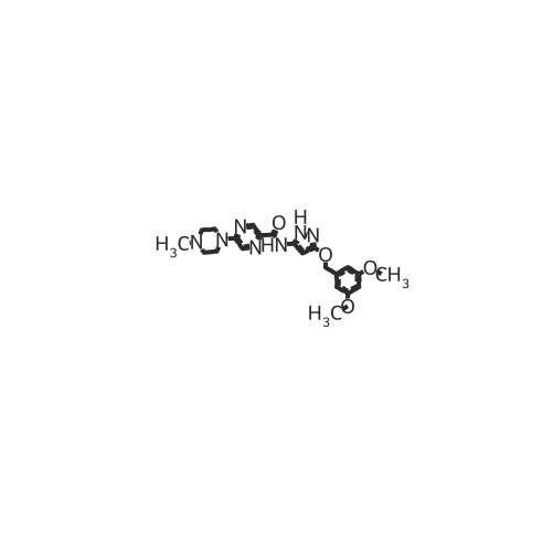 COc1cc(COc2cc(NC(=O)c3cnc(N4CCN(C)CC4)cn3)[nH]n2)cc(OC)c1